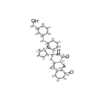 O=C1CC(c2ccsc2)(c2cccc(Cc3cccc(CO)c3)n2)NC(=O)C1Sc1ccccc1Cl